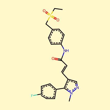 CCS(=O)(=O)Cc1ccc(NC(=O)C=Cc2cnn(C)c2-c2ccc(F)cc2)cc1